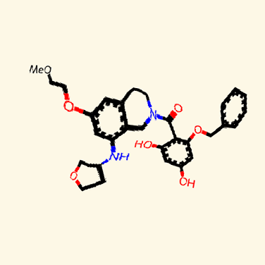 COCCOc1cc2c(c(N[C@H]3CCOC3)c1)CN(C(=O)c1c(O)cc(O)cc1OCc1ccccc1)CC2